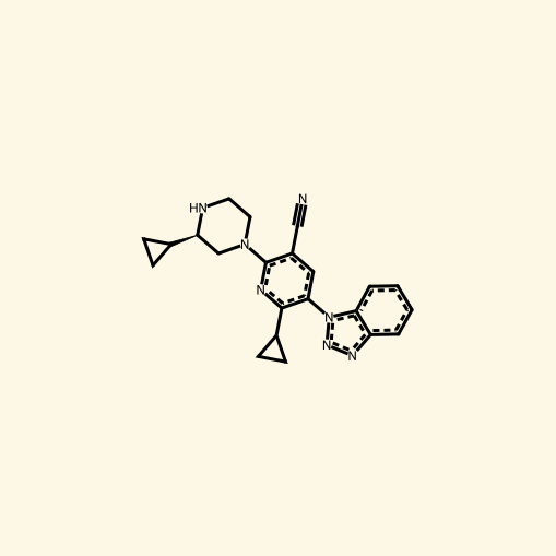 N#Cc1cc(-n2nnc3ccccc32)c(C2CC2)nc1N1CCN[C@H](C2CC2)C1